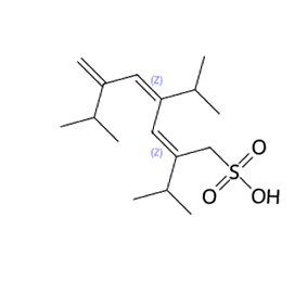 C=C(/C=C(\C=C(/CS(=O)(=O)O)C(C)C)C(C)C)C(C)C